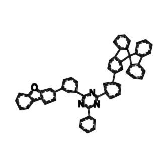 c1ccc(-c2nc(-c3cccc(-c4ccc5c(c4)C4(c6ccccc6-c6ccccc64)c4ccccc4-5)c3)nc(-c3cccc(-c4ccc5c(c4)oc4ccccc45)c3)n2)cc1